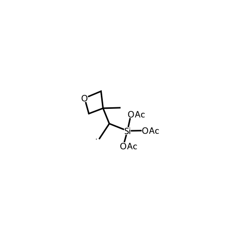 [CH2]C(C1(C)COC1)[Si](OC(C)=O)(OC(C)=O)OC(C)=O